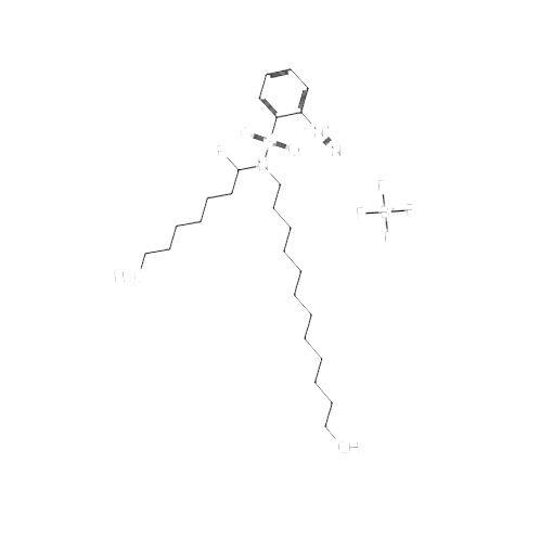 CCCCCCCCCCCCCN(C(F)CCCCCCC)S(=O)(=O)c1ccccc1[N+]#N.F[B-](F)(F)F